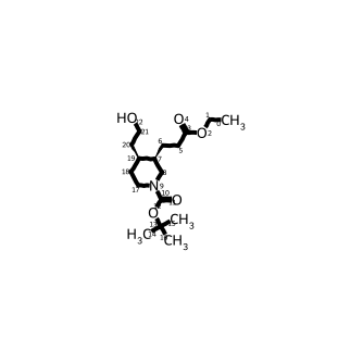 CCOC(=O)CC[C@H]1CN(C(=O)OC(C)(C)C)CC[C@H]1CCO